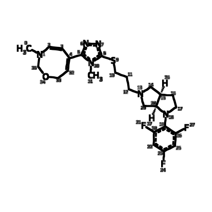 CN1/C=C\C(c2nnc(SCCCN3C[C@H]4CCN(c5c(F)cc(F)cc5F)[C@H]4C3)n2C)=C/COC1